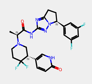 C[C@@H](C(=O)Nc1nc2n(n1)[C@H](c1cc(F)cc(F)c1)CC2)N1CCC(F)(F)[C@@H](c2ccc(=O)[nH]c2)C1